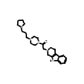 O=C(CN1CCc2c([nH]c3ccccc23)C1)N1CCN(CCCN2CCCC2)CC1